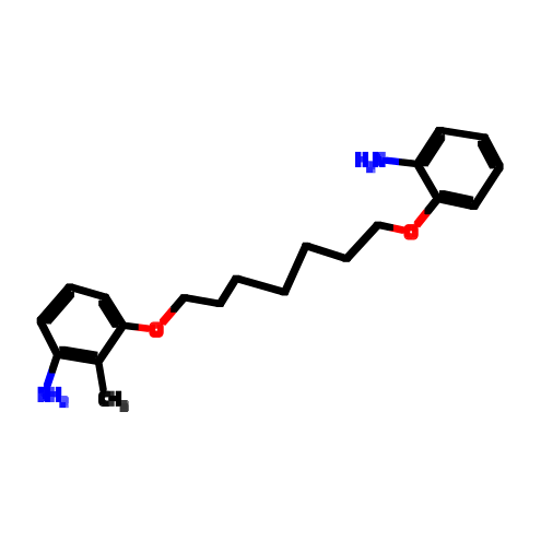 Cc1c(N)cccc1OCCCCCCCOc1ccccc1N